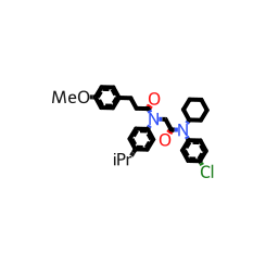 COc1ccc(CCC(=O)N(CC(=O)N(c2ccc(Cl)cc2)C2CCCCC2)c2ccc(C(C)C)cc2)cc1